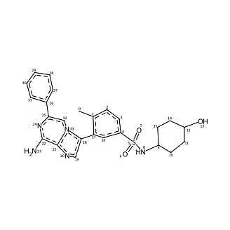 Cc1ccc(S(=O)(=O)NC2CCC(O)CC2)cc1-c1cnc2c(N)nc(-c3ccccc3)cn12